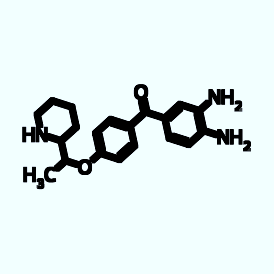 CC(Oc1ccc(C(=O)c2ccc(N)c(N)c2)cc1)C1CCCCN1